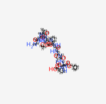 CC(C)[C@@H](C(=O)NC[C@@H](NC(=O)OCc1ccccc1)C(=O)N1CCCC[C@H]1C(=O)O)N(C)C(=O)CNC(=O)CNC(=O)[C@@H]1CCCCN1C(=O)[C@@H](CNC(=O)[C@H](C(C)C)N(C)C(=O)CNC(=O)CN)NC(=O)OC(C)(C)C